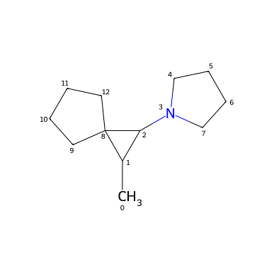 CC1C(N2CCCC2)C12CCCC2